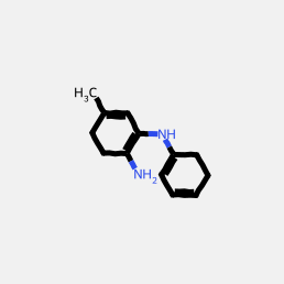 CC1=CC(NC2=CC=CCC2)=C(N)CC1